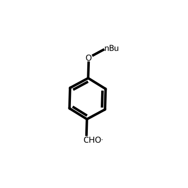 CCCCOc1ccc([C]=O)cc1